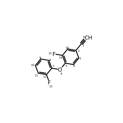 C#Cc1ccc(Oc2ccccc2F)c(F)c1